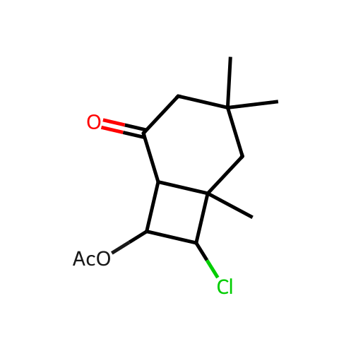 CC(=O)OC1C(Cl)C2(C)CC(C)(C)CC(=O)C12